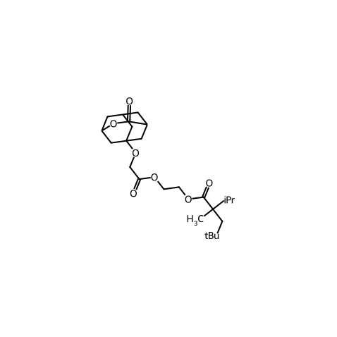 CC(C)C(C)(CC(C)(C)C)C(=O)OCCOC(=O)COC12CC3CC(C1)OC(=O)C(C3)C2